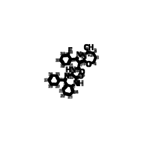 C[C@@H]1CCCOc2c(C(=O)NC3N=C(c4ccccc4)c4ccccc4NC3=O)c(-c3ccccc3F)nn21